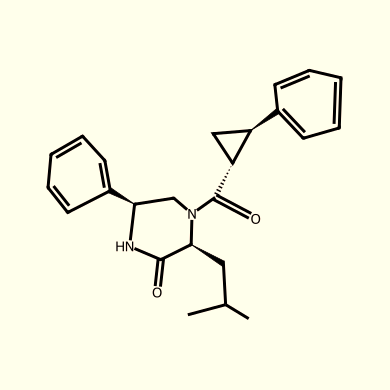 CC(C)C[C@H]1C(=O)N[C@@H](c2ccccc2)CN1C(=O)[C@@H]1C[C@H]1c1ccccc1